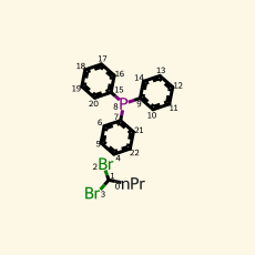 CCCC(Br)Br.c1ccc(P(c2ccccc2)c2ccccc2)cc1